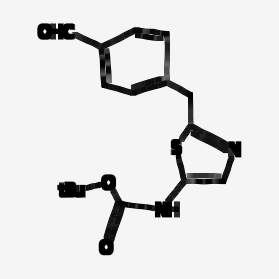 CC(C)(C)OC(=O)Nc1cnc(Cc2ccc(C=O)cc2)s1